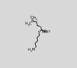 CN(C)CCCC(=O)SCCCCCN.Cl.Cl